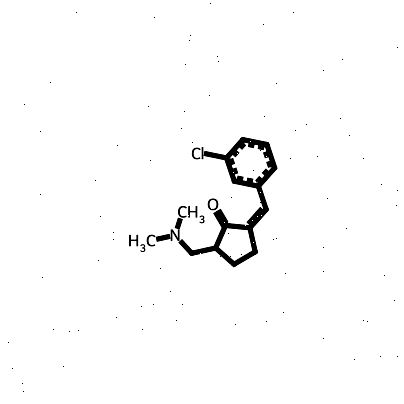 CN(C)CC1CCC(=Cc2cccc(Cl)c2)C1=O